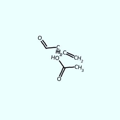 C=C.CC(=O)O.CC=O